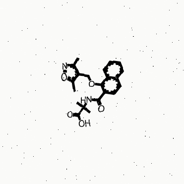 Cc1noc(C)c1COc1c(C(=O)NC(C)(C)C(=O)O)ccc2ccccc12